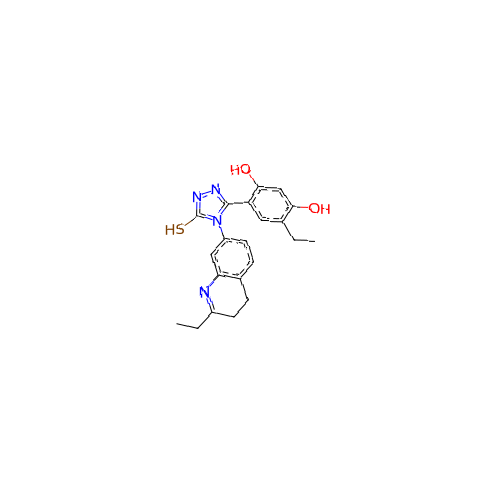 CCC1=Nc2cc(-n3c(S)nnc3-c3cc(CC)c(O)cc3O)ccc2CC1